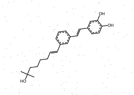 CC(C)(O)CCCC/C=C/c1cccc(/C=C/c2ccc(O)c(O)c2)c1